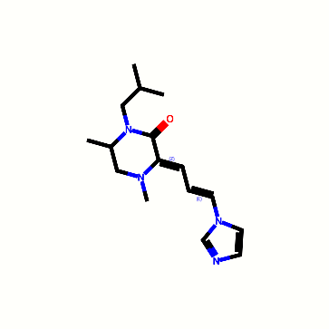 CC(C)CN1C(=O)/C(=C/C=C/n2ccnc2)N(C)CC1C